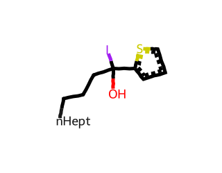 CCCCCCCCCCC(O)(I)c1cccs1